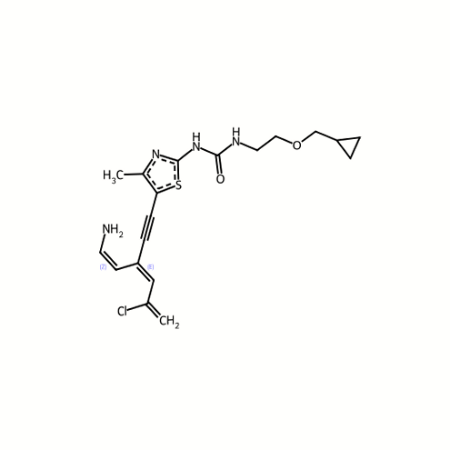 C=C(Cl)/C=C(C#Cc1sc(NC(=O)NCCOCC2CC2)nc1C)\C=C/N